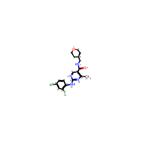 O=C(NCC1CCOCC1)c1cnc(Nc2ccc(Br)cc2F)nc1C(F)(F)F